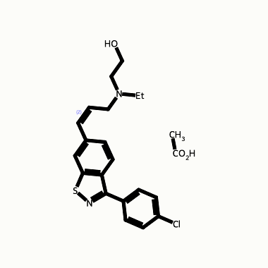 CC(=O)O.CCN(C/C=C\c1ccc2c(-c3ccc(Cl)cc3)nsc2c1)CCO